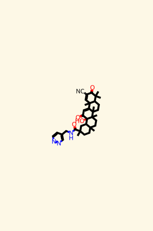 CC1(C(=O)NCc2ccnnc2)CCC2(C)CCC3(C)C4(C)CCC5C(C)(C)C(=O)C(C#N)=CC5(C)C4=CC(=O)C3(O)C2C1